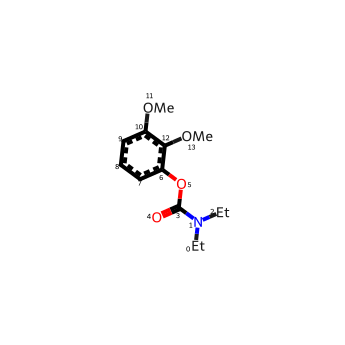 CCN(CC)C(=O)Oc1cccc(OC)c1OC